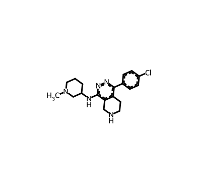 CN1CCCC(Nc2nnc(-c3ccc(Cl)cc3)c3c2CNCC3)C1